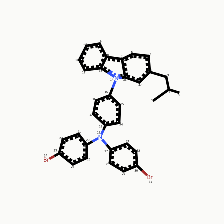 CC(C)Cc1ccc2c3ccccc3n(-c3ccc(N(c4ccc(Br)cc4)c4ccc(Br)cc4)cc3)c2c1